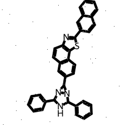 c1ccc(C2NC(c3ccccc3)N3C(c4ccc5c(ccc6nc(-c7ccc8ccccc8c7)sc65)c4)N23)cc1